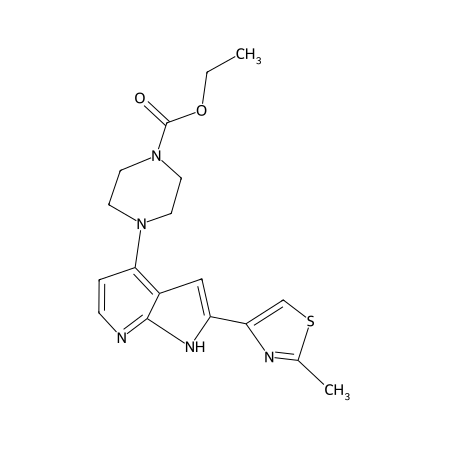 CCOC(=O)N1CCN(c2ccnc3[nH]c(-c4csc(C)n4)cc23)CC1